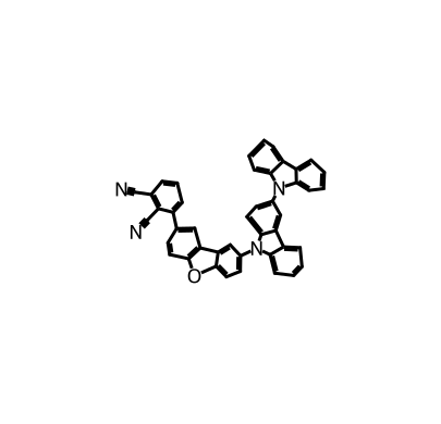 N#Cc1cccc(-c2ccc3oc4ccc(-n5c6ccccc6c6cc(-n7c8ccccc8c8ccccc87)ccc65)cc4c3c2)c1C#N